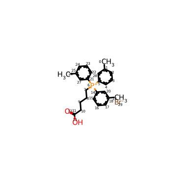 Cc1cccc([P+](CCCCC(=O)O)(c2cccc(C)c2)c2cccc(C)c2)c1.[Br-]